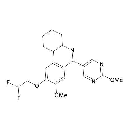 COc1ncc(C2=NC3CCCCC3c3cc(OCC(F)F)c(OC)cc32)cn1